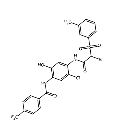 CCC(C(=O)Nc1cc(O)c(NC(=O)c2ccc(C(F)(F)F)cc2)cc1Cl)S(=O)(=O)c1cccc(C)c1